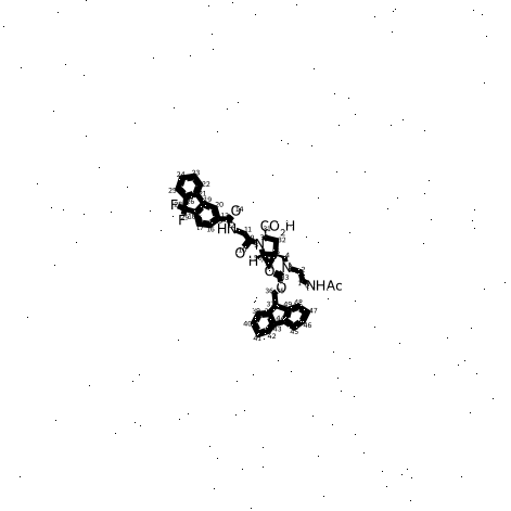 CC(=O)NCCN(C[C@@]12C[C@@H]1N(C(=O)CNC(=O)c1ccc3c(c1)-c1ccccc1C3(F)F)[C@H](C(=O)O)C2)C(=O)OCC1c2ccccc2-c2ccccc21